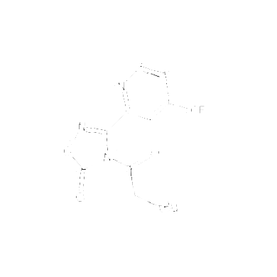 CC(C)(C)CC(=O)n1c(-c2cc(C(F)(F)F)ccn2)noc1=O